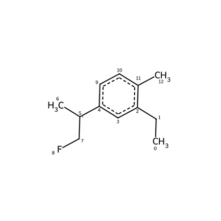 CCc1cc([C](C)CF)ccc1C